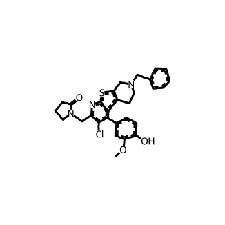 COc1cc(-c2c(Cl)c(CN3CCCC3=O)nc3sc4c(c23)CCN(Cc2ccccc2)C4)ccc1O